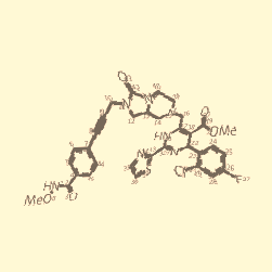 CONC(=O)c1ccc(C#CCN2CC3CN(CC4=C(C(=O)OC)C(c5ccc(F)cc5Cl)N=C(c5nccs5)N4)CCN3C2=O)cc1